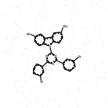 CC(C)(C)c1ccc2c(c1)c1cc(C(C)(C)C)ccc1n2-c1nc(-c2cccc(Br)c2)nc(-c2cccc(Br)c2)n1